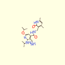 Cc1cc(C)c(CNC(=O)c2cc(OC(C)C)nc(NC(C)C)c2C=N)c(=O)[nH]1